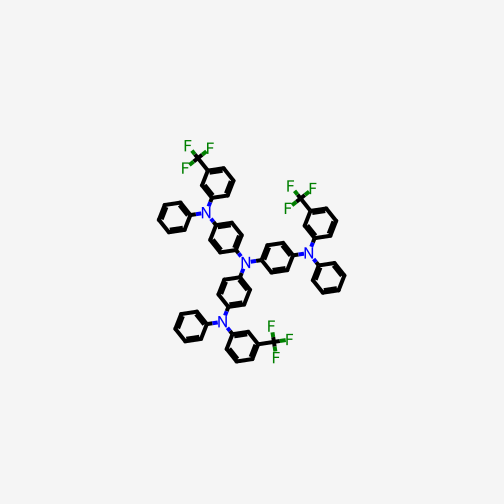 FC(F)(F)c1cccc(N(c2ccccc2)c2ccc(N(c3ccc(N(c4ccccc4)c4cccc(C(F)(F)F)c4)cc3)c3ccc(N(c4ccccc4)c4cccc(C(F)(F)F)c4)cc3)cc2)c1